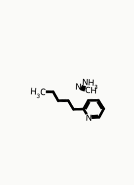 C#N.CCCCCc1ccccn1.N